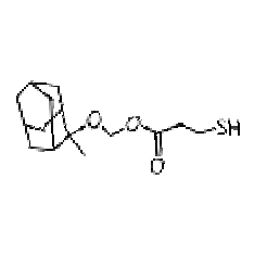 CC1(OCOC(=O)CCS)C2CC3CC(C2)CC1C3